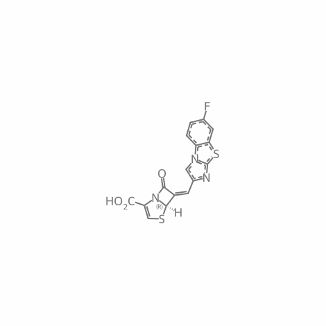 O=C(O)C1=CS[C@@H]2C(=Cc3cn4c(n3)sc3cc(F)ccc34)C(=O)N12